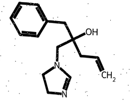 C=CCC(O)(Cc1ccccc1)CN1C=NCC1